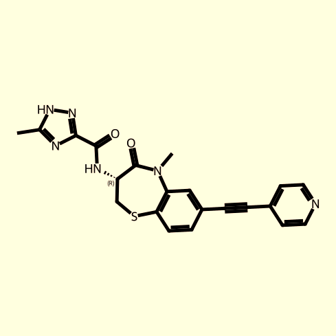 Cc1nc(C(=O)N[C@H]2CSc3ccc(C#Cc4ccncc4)cc3N(C)C2=O)n[nH]1